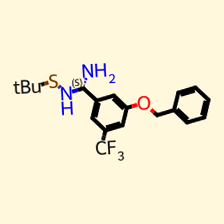 CC(C)(C)SN[C@H](N)c1cc(OCc2ccccc2)cc(C(F)(F)F)c1